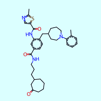 Cc1ncc(C(=O)Nc2cc(C(=O)NCCCC3CCCCC(=O)C3)ccc2CC2CCCN(c3ccccc3C)CC2)s1